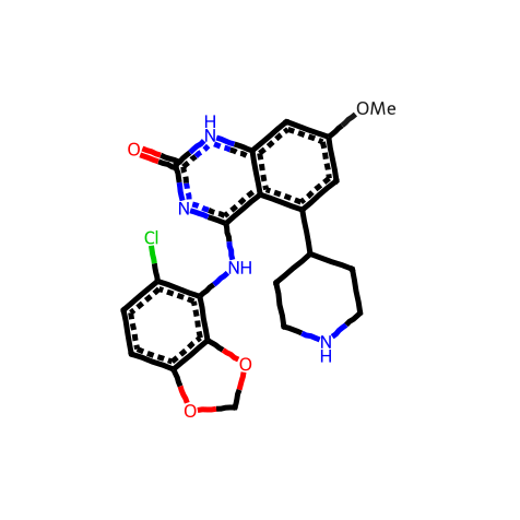 COc1cc(C2CCNCC2)c2c(Nc3c(Cl)ccc4c3OCO4)nc(=O)[nH]c2c1